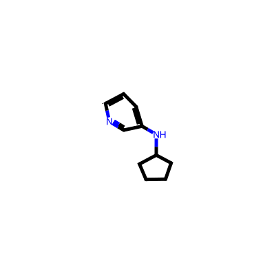 [c]1ccc(NC2CCCC2)cn1